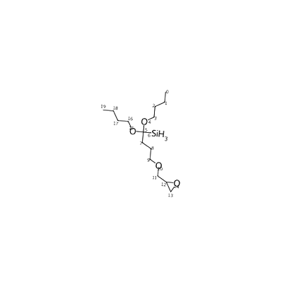 CCCCOC([SiH3])(CCCOCC1CO1)OCCCC